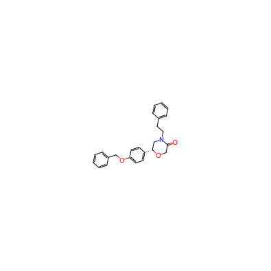 O=C1CO[C@H](c2ccc(OCc3ccccc3)cc2)CN1CCc1ccccc1